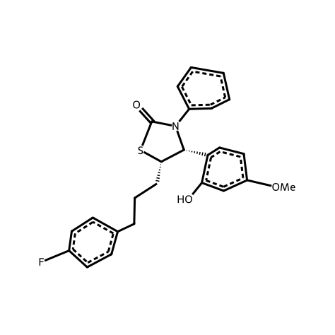 COc1ccc([C@@H]2[C@H](CCCc3ccc(F)cc3)SC(=O)N2c2ccccc2)c(O)c1